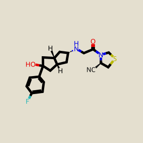 N#C[C@@H]1CSCN1C(=O)CN[C@@H]1C[C@@H]2CC(O)(c3ccc(F)cc3)C[C@@H]2C1